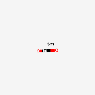 [O]=[Ti]=[O].[Sm]